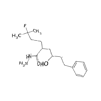 CC(C)(F)CCC(CC(O)[CH]Cc1ccccc1)C(=O)NN